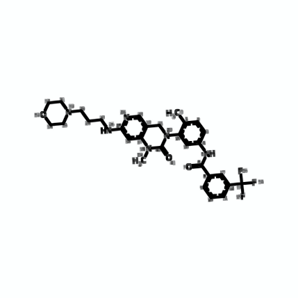 Cc1ccc(NC(=O)c2cccc(C(F)(F)F)c2)cc1N1Cc2cnc(NCCCN3CCOCC3)cc2N(C)C1=O